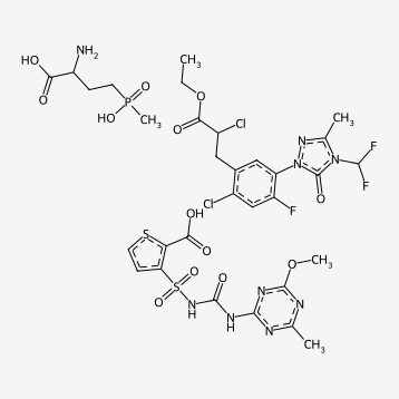 CCOC(=O)C(Cl)Cc1cc(-n2nc(C)n(C(F)F)c2=O)c(F)cc1Cl.COc1nc(C)nc(NC(=O)NS(=O)(=O)c2ccsc2C(=O)O)n1.CP(=O)(O)CCC(N)C(=O)O